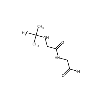 [2H]C(=O)CNC(=O)CNC(C)(C)C